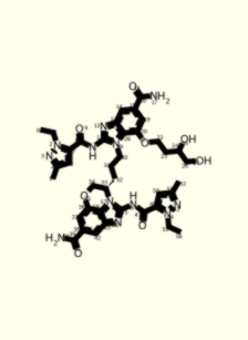 CCn1nc(C)cc1C(=O)Nc1nc2cc(C(N)=O)cc(OCCC(O)CO)c2n1CCC[C@H]1COc2cc(C(N)=O)cc3nc(NC(=O)c4cc(C)nn4CC)n1c23